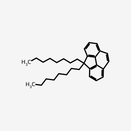 CCCCCCCCC1(CCCCCCCC)c2cccc3ccc4cccc1c4c23